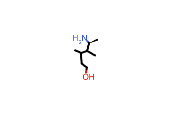 CC(CCO)C(C)[C@H](C)N